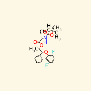 CC[C@H](NC(=O)OC(C)(C)C)C(=O)O[C@@H](C)[C@H](Oc1cc(F)ccc1F)c1ccccc1